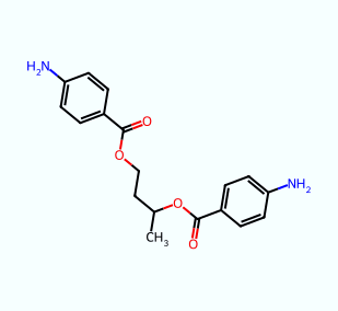 CC(CCOC(=O)c1ccc(N)cc1)OC(=O)c1ccc(N)cc1